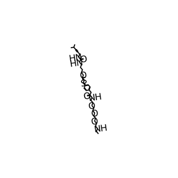 CCNCCOCCOCCOCCNC(=O)Cc1ccc(SSCOCCCCNC(=O)NCC#CC(C)C)cc1